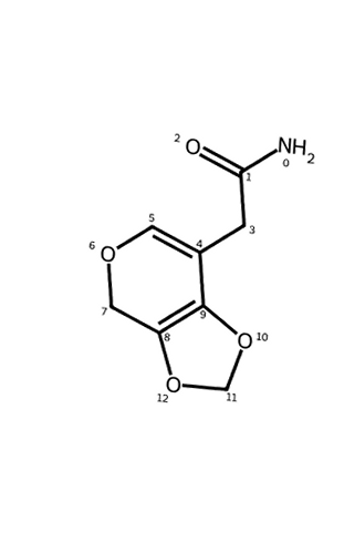 NC(=O)CC1=COCC2=C1OCO2